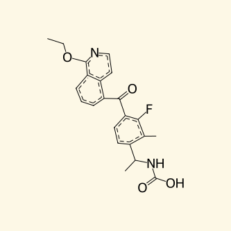 CCOc1nccc2c(C(=O)c3ccc(C(C)NC(=O)O)c(C)c3F)cccc12